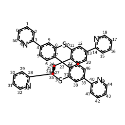 c1ccc(-c2ccc3c(c2)Sc2cc(-c4ccccn4)ccc2C32c3ccc(-c4ccccn4)cc3Sc3cc(-c4ccccn4)ccc32)nc1